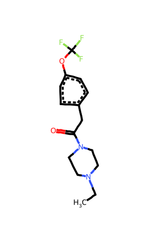 CCN1CCN(C(=O)Cc2ccc(OC(F)(F)F)cc2)CC1